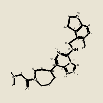 CN(C)CC(=O)N1CCCC(c2cnc(NCc3c(F)ccc4c3CCO4)n3cnnc23)CC1